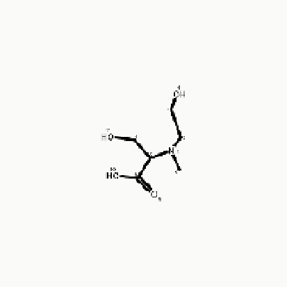 CN(CCO)C(CO)C(=O)O